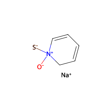 [Na+].[O-][N+]1([S-])C=CC=CC1